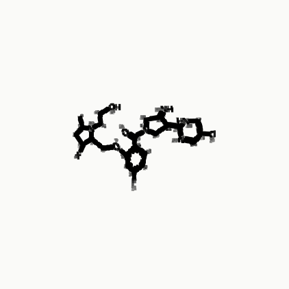 CC1CC(F)C(COc2cc(F)ccc2C(=O)N2CC(=N)/C(=C3/N=CC(Cl)=CN3)C2)N1CCO